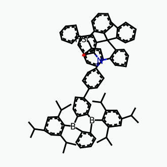 Cc1ccccc1C1(c2ccccc2[SiH](c2ccccc2)c2ccccc2)c2ccccc2N(c2ccc(-c3ccc4c(c3)B(c3c(C(C)C)cc(C(C)C)cc3C(C)C)c3ccccc3B4c3c(C(C)C)cc(C(C)C)cc3C(C)C)cc2)c2ccccc21